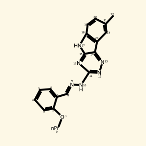 CCCOc1ccccc1C=NNc1nnc2c(n1)[nH]c1ccc(C)cc12